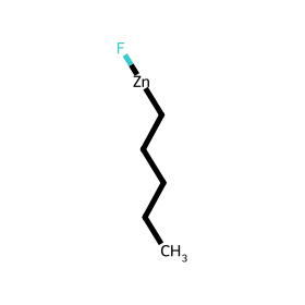 CCCC[CH2][Zn][F]